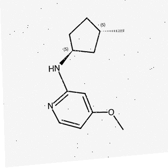 COc1ccnc(N[C@H]2CC[C@H](C)C2)c1